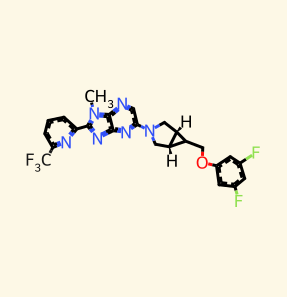 Cn1c(-c2cccc(C(F)(F)F)n2)nc2nc(N3C[C@@H]4C(COc5cc(F)cc(F)c5)[C@@H]4C3)cnc21